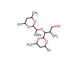 CCC1CC(C)OC(C(OC)OC(C(C)CO)C2OC(C)CC(CC)O2)O1